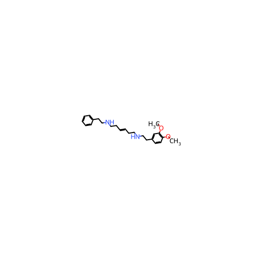 COc1ccc(CCNCCC=CCCNCCc2ccccc2)cc1OC